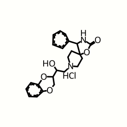 Cl.O=C1NC(c2ccccc2)C2(CCN(CC(O)C3COc4ccccc4O3)CC2)O1